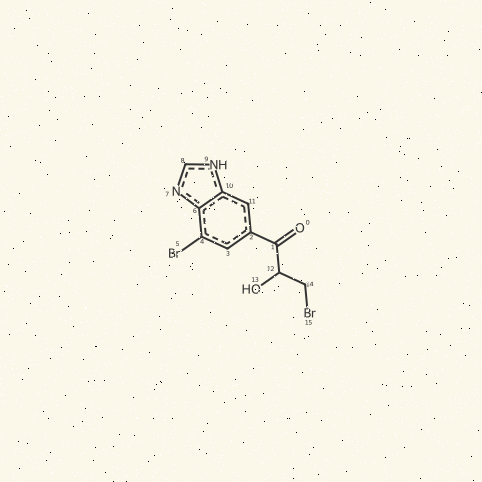 O=C(c1cc(Br)c2nc[nH]c2c1)C(O)CBr